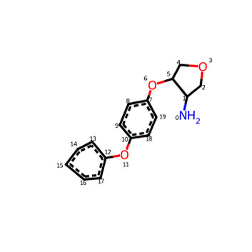 NC1COCC1Oc1ccc(Oc2ccccc2)cc1